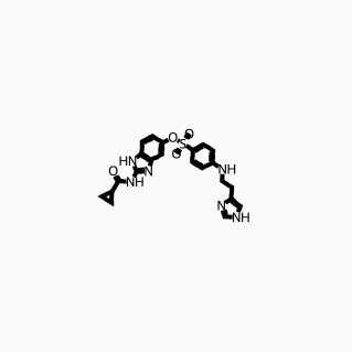 O=C(Nc1nc2cc(OS(=O)(=O)c3ccc(NCCc4c[nH]cn4)cc3)ccc2[nH]1)C1CC1